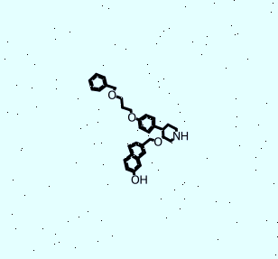 Oc1ccc2ccc(COC3CNCCC3c3ccc(OCCCOCc4ccccc4)cc3)cc2c1